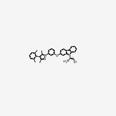 CC/C=C(\N)n1c2ccccc2c2ccc(Oc3cccc(-n4nc(C)c(-c5c(C)cccc5C)c4C)c3)cc21